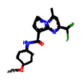 CCCOC1CCC(NC(=O)c2ccn3c(C)cc(C(F)F)nc23)CC1